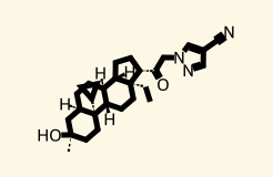 CC[C@]12CC[C@H]3[C@@H](CC[C@@H]4C[C@](C)(O)CC[C@@]43C3CC3)[C@@H]1CC[C@@H]2C(=O)Cn1cc(C#N)cn1